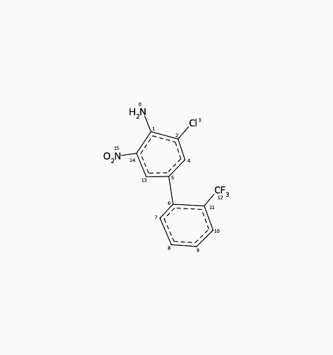 Nc1c(Cl)cc(-c2ccccc2C(F)(F)F)cc1[N+](=O)[O-]